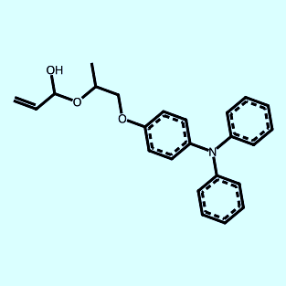 C=CC(O)OC(C)COc1ccc(N(c2ccccc2)c2ccccc2)cc1